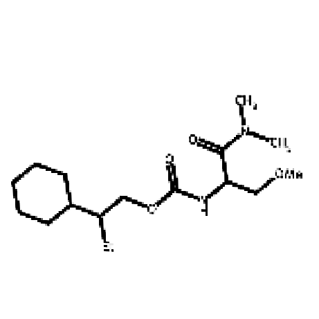 CCC(COC(=O)NC(COC)C(=O)N(C)C)C1CCCCC1